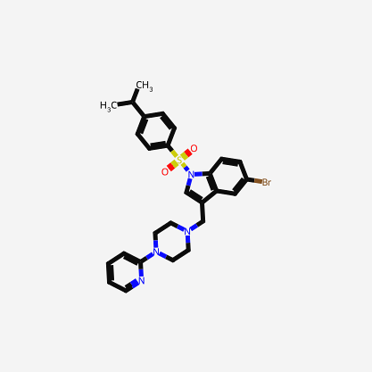 CC(C)c1ccc(S(=O)(=O)n2cc(CN3CCN(c4ccccn4)CC3)c3cc(Br)ccc32)cc1